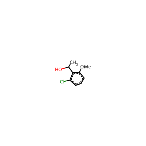 COc1cccc(Cl)c1C(C)O